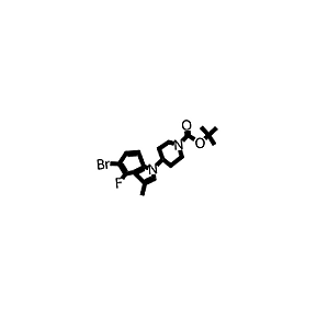 Cc1cn(C2CCN(C(=O)OC(C)(C)C)CC2)c2ccc(Br)c(F)c12